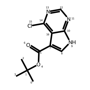 CC(C)(C)OC(=O)c1c[nH]c2ncnc(Cl)c12